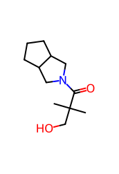 CC(C)(CO)C(=O)N1CC2CCCC2C1